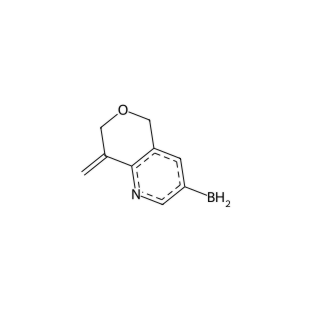 Bc1cnc2c(c1)COCC2=C